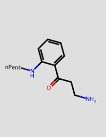 CCCCCNc1ccccc1C(=O)CCN